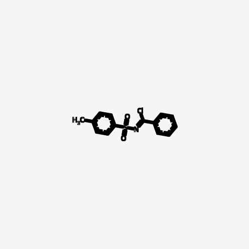 Cc1ccc(S(=O)(=O)/N=C(\Cl)c2ccccc2)cc1